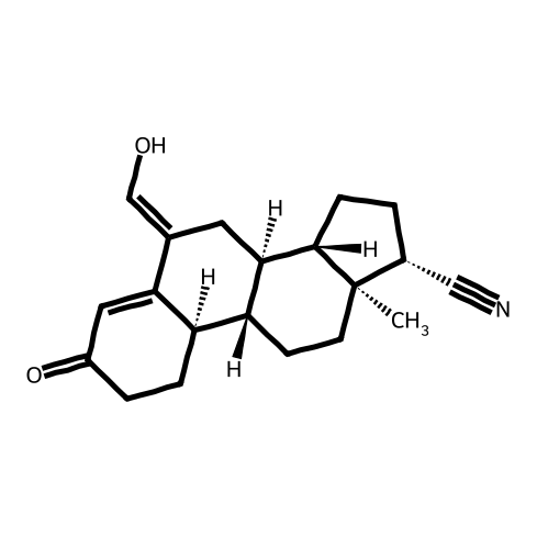 C[C@]12CC[C@H]3[C@@H](CC(=CO)C4=CC(=O)CC[C@@H]43)[C@@H]1CC[C@@H]2C#N